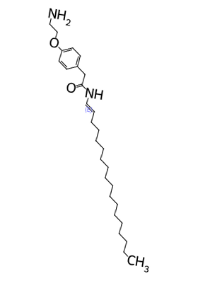 CCCCCCCCCCCCCCCC/C=C/NC(=O)Cc1ccc(OCCN)cc1